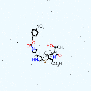 C[C@@H](O)[C@H]1C(=O)N2C(C(=O)O)=C(S[C@@H]3CN[C@H](C4CN(C(=O)OCc5ccc([N+](=O)[O-])cc5)C4)C3)[C@H](C)[C@H]12